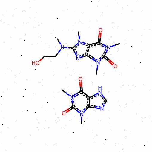 CN(CCO)c1nc2c(c(=O)n(C)c(=O)n2C)n1C.Cn1c(=O)c2[nH]cnc2n(C)c1=O